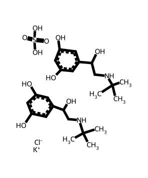 CC(C)(C)NCC(O)c1cc(O)cc(O)c1.CC(C)(C)NCC(O)c1cc(O)cc(O)c1.O=S(=O)(O)O.[Cl-].[K+]